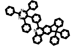 c1ccc(-c2nc(-c3ccccc3)c(-c3cccc(-c4nc5ccccc5c5cc6c(cc45)-c4ccccc4C6(c4ccccc4)c4ccccc4)c3)c(-c3ccccc3)n2)cc1